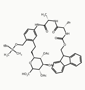 CC(=O)O[C@@H]1[C@@H](OC(C)=O)[C@H](OC(C)=O)C(C(=O)O)O[C@H]1CCc1cc(NC(=O)[C@H](C)NC(=O)[C@@H](NC(=O)OCC2c3ccccc3-c3ccccc32)C(C)C)ccc1CO[Si](C)(C)C(C)(C)C